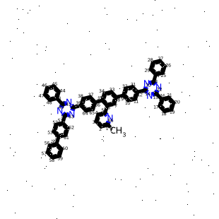 Cc1cccc(-c2cc(-c3ccc(-c4nc(-c5ccccc5)nc(-c5ccccc5)n4)cc3)ccc2-c2ccc(-c3nc(-c4ccccc4)nc(-c4ccc(-c5ccccc5)cc4)n3)cc2)n1